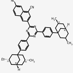 CC[C@H]1C[C@H]2C[C@@H](C)CC(c3ccc(-c4nc(-c5ccc(C67CC(C)C[C@H](C[C@H](C)C6)C7)cc5)nc(-c5cc(C#N)c6cc(C#N)ccc6c5)n4)cc3)(C2)C1